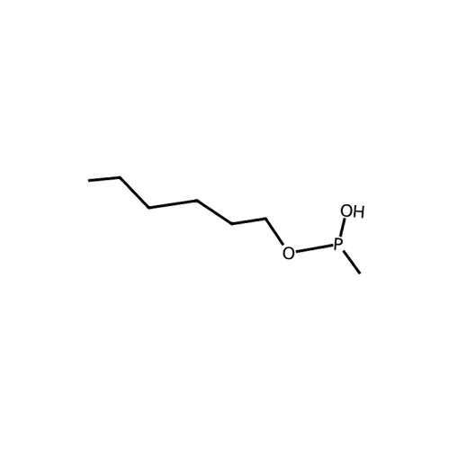 CCCCCCOP(C)O